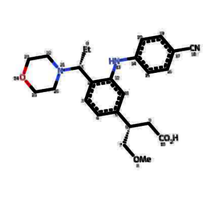 CC[C@H](c1ccc([C@@H](COC)CC(=O)O)cc1Nc1ccc(C#N)cc1)N1CCOCC1